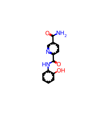 NC(=O)c1ccc(C(=O)Nc2ccccc2O)nc1